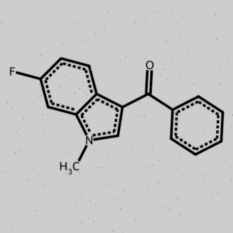 Cn1cc(C(=O)c2ccccc2)c2ccc(F)cc21